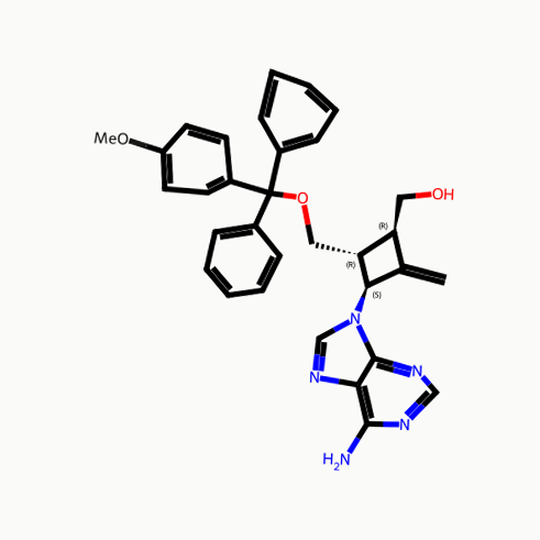 C=C1[C@@H](n2cnc3c(N)ncnc32)[C@H](COC(c2ccccc2)(c2ccccc2)c2ccc(OC)cc2)[C@H]1CO